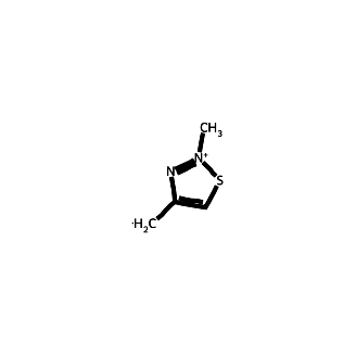 [CH2]c1cs[n+](C)n1